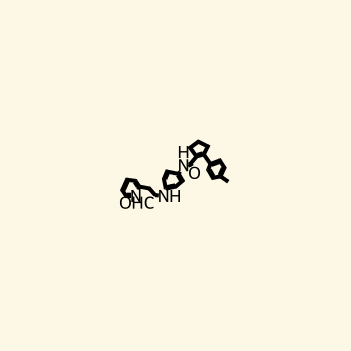 Cc1ccc(C2=C(C(=O)Nc3ccc(NC(C=O)Cc4ccccn4)cc3)CCC2)cc1